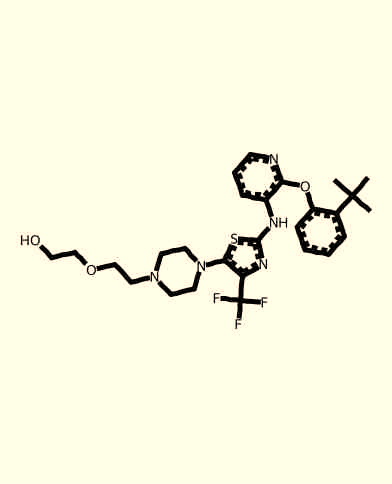 CC(C)(C)c1ccccc1Oc1ncccc1Nc1nc(C(F)(F)F)c(N2CCN(CCOCCO)CC2)s1